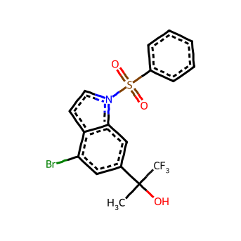 CC(O)(c1cc(Br)c2ccn(S(=O)(=O)c3ccccc3)c2c1)C(F)(F)F